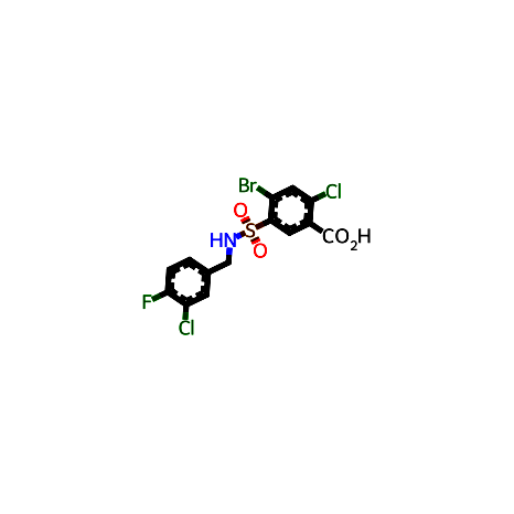 O=C(O)c1cc(S(=O)(=O)NCc2ccc(F)c(Cl)c2)c(Br)cc1Cl